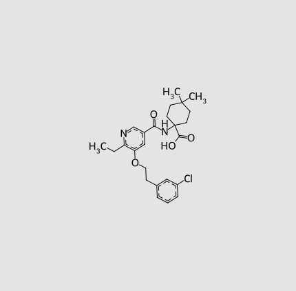 CCc1ncc(C(=O)NC2(C(=O)O)CCC(C)(C)CC2)cc1OCCc1cccc(Cl)c1